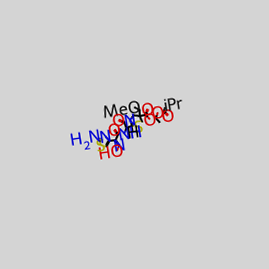 COCC1(C(=O)OC(C)OC(=O)C(C)C)CS[C@@H]2C(NC(=O)C(=NO)c3csc(N)n3)C(=O)N2C1